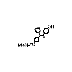 CC/C(=C(/c1ccccc1)c1ccc(OCCNC)cc1)c1ccc(O)cc1